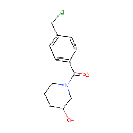 O=C(c1ccc(CCl)cc1)N1CCCC(O)C1